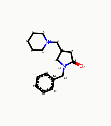 O=C1CC(CN2CCCCC2)CN1Cc1ccccc1